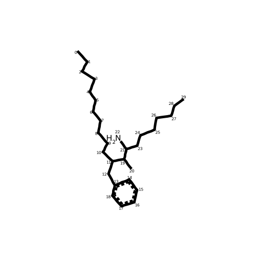 CCCCCCCCCCCC(Cc1ccccc1)C(C)C(N)CCCCCCC